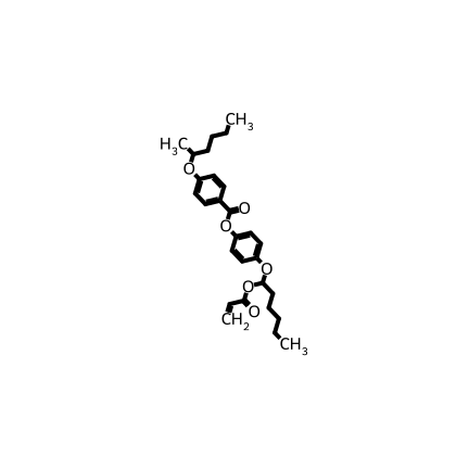 C=CC(=O)OC(CCCCC)Oc1ccc(OC(=O)c2ccc(OC(C)CCCC)cc2)cc1